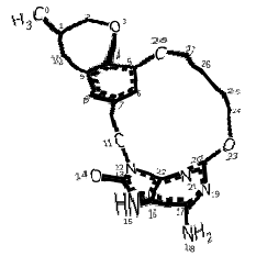 CC1COc2c3cc(cc2C1)Cn1c(=O)[nH]c2c(N)nc(nc21)OCCCCC3